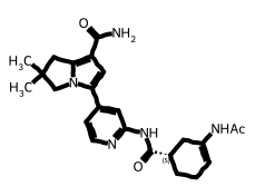 CC(=O)NC1=CCC[C@H](C(=O)Nc2cc(-c3cc(C(N)=O)c4n3CC(C)(C)C4)ccn2)C1